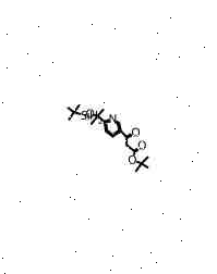 CC(C)(C)OC(=O)CC(=O)c1ccc(C(C)(C)O[SiH2]C(C)(C)C)nc1